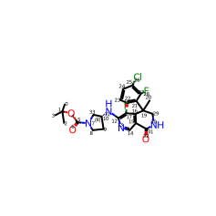 CC(C)(C)OC(=O)N1CC[C@@H](Nc2ncc3c(c2F)C(C)(c2cccc(Cl)c2F)CNC3=O)C1